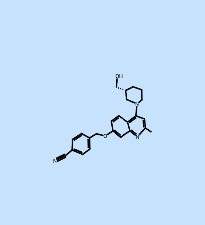 Cc1cc(N2CCC[C@@H](CO)C2)c2ccc(OCc3ccc(C#N)cc3)cc2n1